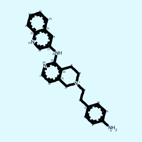 Nc1ccc(CCN2CCc3c(ccnc3Nc3cnc4ccccc4c3)C2)cc1